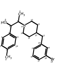 Cc1ccc(C(O)C(C)N2CCC(Cc3cccc(Br)c3)CC2)cc1